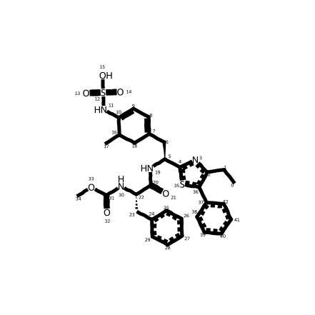 CCc1nc([C@H](CC2=CC=C(NS(=O)(=O)O)C(C)C2)NC(=O)[C@H](Cc2ccccc2)NC(=O)OC)sc1-c1ccccc1